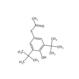 CC(=O)Sc1cc(C(C)(C)C)c(O)c(C(C)(C)C)c1